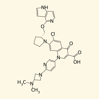 CN(C)C1CN(c2ccc(-n3cc(C(=O)O)c(=O)c4cc(Cl)c(N5CCC[C@@H]5COc5nccc6[nH]ccc56)cc43)cn2)C1